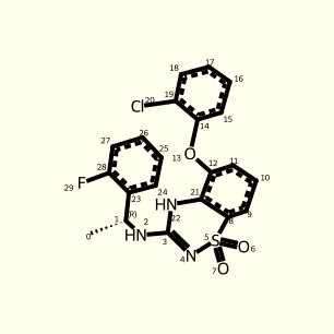 C[C@@H](NC1=NS(=O)(=O)c2cccc(Oc3ccccc3Cl)c2N1)c1ccccc1F